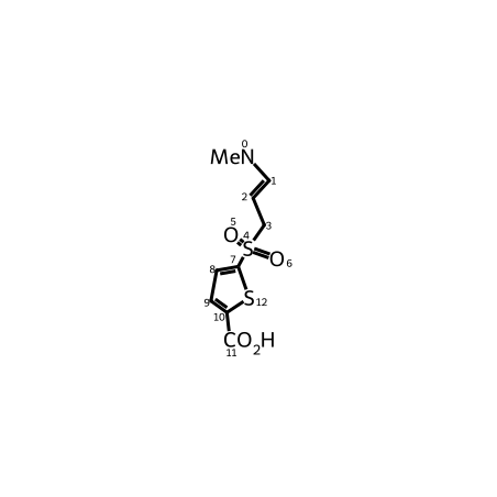 CNC=CCS(=O)(=O)c1ccc(C(=O)O)s1